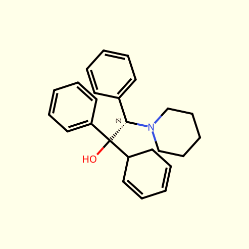 OC(c1ccccc1)(C1C=CC=CC1)[C@H](c1ccccc1)N1CCCCC1